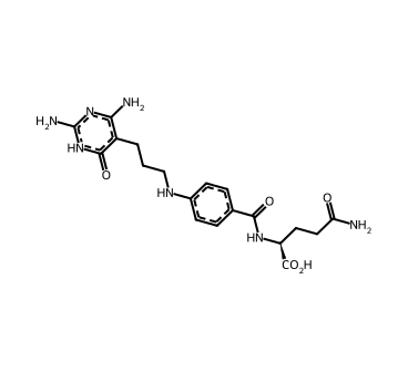 NC(=O)CC[C@H](NC(=O)c1ccc(NCCCc2c(N)nc(N)[nH]c2=O)cc1)C(=O)O